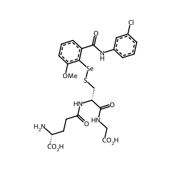 COc1cccc(C(=O)Nc2cccc(Cl)c2)c1[Se]SC[C@@H](NC(=O)CC[C@@H](N)C(=O)O)C(=O)NCC(=O)O